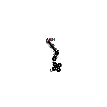 COc1ccc(C2(c3ccc(Oc4ccc(S(=O)(=O)c5ccc(C)c(C(F)(F)C(F)(F)C(F)(F)C(F)(F)C(F)(F)C(F)(F)C(F)(F)C(F)(F)S(=O)(=O)O)c5)cc4)cc3)c3ccccc3-c3ccccc32)cc1